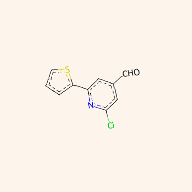 O=Cc1cc(Cl)nc(-c2cccs2)c1